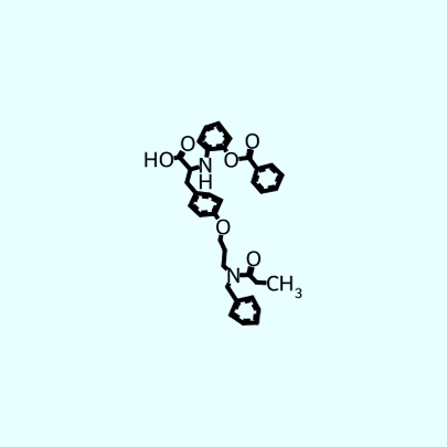 CCC(=O)N(CCCOc1ccc(CC(Nc2ccccc2OC(=O)c2ccccc2)C(=O)O)cc1)Cc1ccccc1